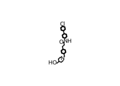 O=C(CCc1ccc(CN2CCC(CO)CC2)cc1)Nc1ccc(-c2ccc(Cl)cc2)cc1